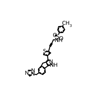 Cc1ccc(S(=O)(=O)NCC#Cc2cc(-c3n[nH]c4c3Cc3cc(Cn5cncn5)ccc3-4)cs2)cc1